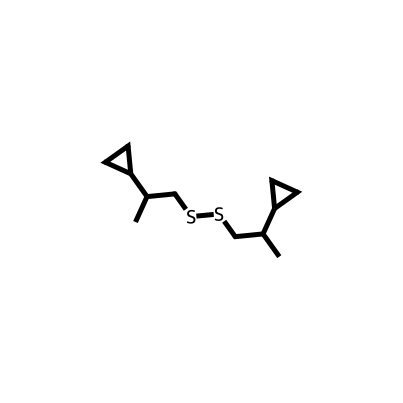 CC(CSSCC(C)C1CC1)C1CC1